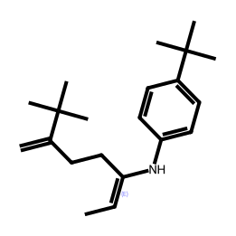 C=C(CC/C(=C\C)Nc1ccc(C(C)(C)C)cc1)C(C)(C)C